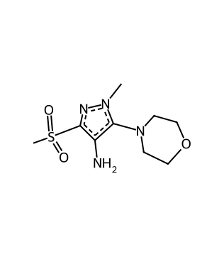 Cn1nc(S(C)(=O)=O)c(N)c1N1CCOCC1